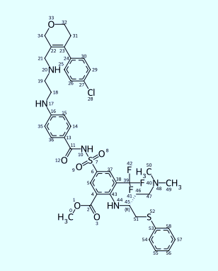 COC(=O)c1cc(S(=O)(=O)NC(=O)c2ccc(NCCNCC3=C(c4ccc(Cl)cc4)CCOC3)cc2)cc(C(F)(F)F)c1N[C@H](CCN(C)C)CSc1ccccc1